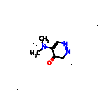 CN(C)C1=CN=NCC1=O